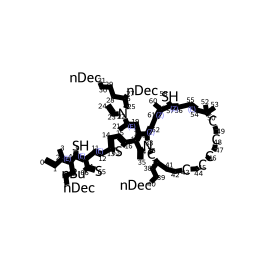 C=C/C(C)=C(CCCCCCCCCCCC)/C(S)=C(/C=C/c1ccc(-c2c(/C=C(\C)N(C=C)CC(CCCCCCCCCC)CCCCCCCCCCCCC)/c3n(c2=C)CC(CCCCCCCCCCCC)CCCCCCCCCCC(C)(C)/C=C/C=C(S)/C(C)=C\C=3)s1)C(=S)CCCC